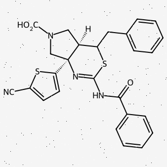 N#Cc1ccc([C@]23CN(C(=O)O)C[C@H]2C(Cc2ccccc2)SC(NC(=O)c2ccccc2)=N3)s1